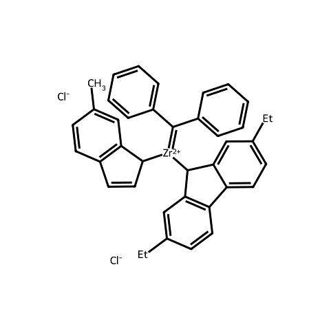 CCc1ccc2c(c1)[CH]([Zr+2](=[C](c1ccccc1)c1ccccc1)[CH]1C=Cc3ccc(C)cc31)c1cc(CC)ccc1-2.[Cl-].[Cl-]